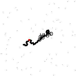 CC/C=C\C/C=C\C/C=C\C/C=C\C/C=C\CCCCOCC(=O)OCCNC(=O)c1ccccc1N=O